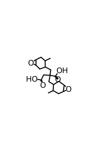 CC1CC2OC2CC1CC(CC(=O)O)(CC1CC2OC2CC1C)C(=O)O